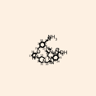 CCn1cncc1Cn1c(CN2CCC(n3nccc3OCc3ccc(C#N)cc3)CC2)nc2ccc(C(=O)O)cc21.N